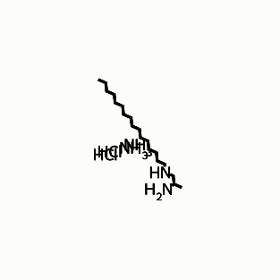 CCCCCCCCCCCCCCCCNCC(C)N.Cl.Cl.N.N